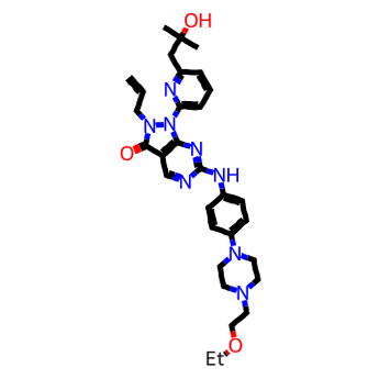 C=CCn1c(=O)c2cnc(Nc3ccc(N4CCN(CCOCC)CC4)cc3)nc2n1-c1cccc(CC(C)(C)O)n1